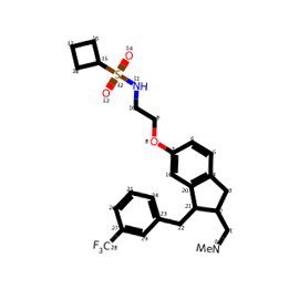 CNCC1Cc2ccc(OCCNS(=O)(=O)C3CCC3)cc2C1Cc1cccc(C(F)(F)F)c1